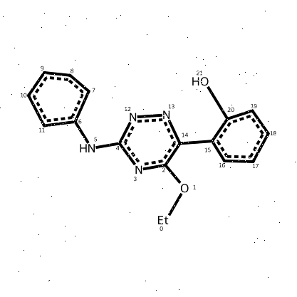 CCOc1nc(Nc2ccccc2)nnc1-c1ccccc1O